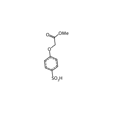 COC(=O)COc1ccc(S(=O)(=O)O)cc1